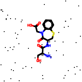 N[C@@H](CO)C(=O)N[C@@H]1CSc2ccccc2N(CC(=O)O)C1=O